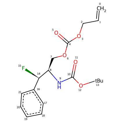 C=CCOC(=O)OC[C@@H](NC(=O)OC(C)(C)C)[C@H](F)c1ccccc1